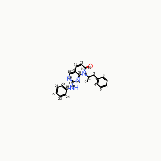 CC(Cc1ccccc1)n1c(=O)ccc2cnc(Nc3ccccc3)nc21